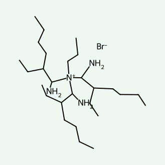 CCCCC(CC)C(N)[N+](CCC)(C(N)C(CC)CCCC)C(N)C(CC)CCCC.[Br-]